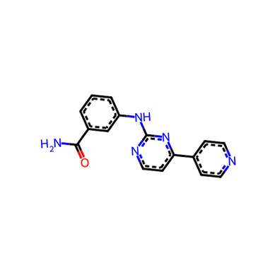 NC(=O)c1cccc(Nc2nccc(-c3ccncc3)n2)c1